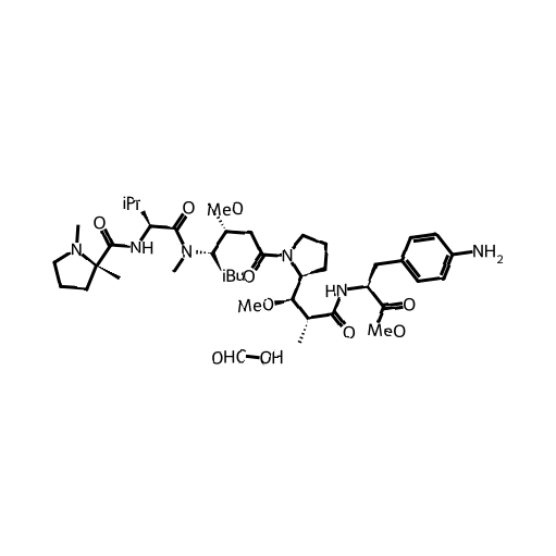 CC[C@H](C)[C@@H]([C@@H](CC(=O)N1CCC[C@H]1[C@H](OC)[C@@H](C)C(=O)N[C@@H](Cc1ccc(N)cc1)C(=O)OC)OC)N(C)C(=O)[C@@H](NC(=O)[C@]1(C)CCCN1C)C(C)C.O=CO